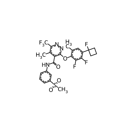 Cc1cc(C2(F)CCC2)c(F)c(F)c1Oc1nnc(C(F)(F)F)c(C)c1C(=O)Nc1cccc(S(C)(=O)=O)c1